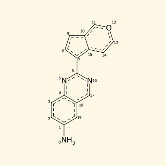 Nc1ccc2nc(-c3ccc4coccc3-4)ncc2c1